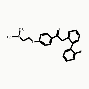 CN(C)CCOc1ccc(C(=O)Cc2ccccc2-c2ccccc2F)cc1